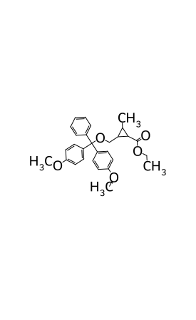 CCOC(=O)C1C(C)C1COC(c1ccccc1)(c1ccc(OC)cc1)c1ccc(OC)cc1